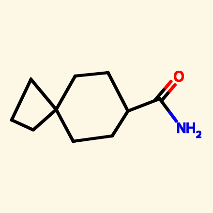 NC(=O)C1CCC2(CCC2)CC1